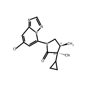 C[C@@H]1CN(c2cc(Cl)cc3ncnn23)C(=O)[C@]1(C#N)C1CC1